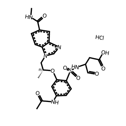 CNC(=O)c1ccc2c(c1)ncn2C[C@@H](C)Oc1cc(NC(C)=O)ccc1S(=O)(=O)NC(C=O)CC(=O)O.Cl